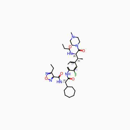 C=C(NC(=O)[C@@H](NC(=O)c1nonc1CC)C1CCCCCC1)/C(F)=C\C(=C/C)[C@H](C)[C@@H](NC(=O)CC)C(=O)N1CCN(C)CC1